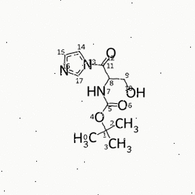 CC(C)(C)OC(=O)NC(CO)C(=O)n1ccnc1